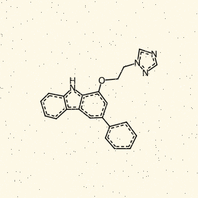 c1ccc(-c2cc(OCCn3cncn3)c3[nH]c4ccccc4c3c2)cc1